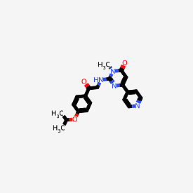 CC(C)Oc1ccc(C(=O)CNc2nc(-c3ccncc3)cc(=O)n2C)cc1